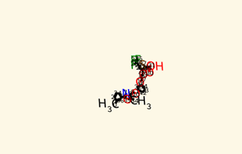 Cc1cccc(-c2nc(CO[C@H]3CCC[C@@H](OCCOc4cc(C(F)(F)F)sc4C(=O)O)C3)c(C)o2)c1